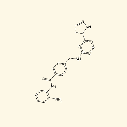 Nc1ccccc1NC(=O)c1ccc(CNc2nccc(C3CC=NN3)n2)cc1